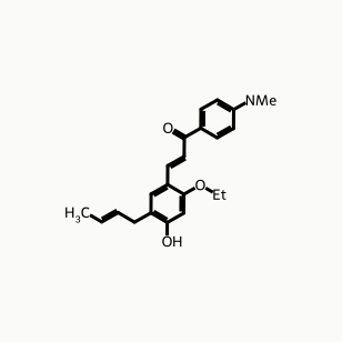 C/C=C/Cc1cc(/C=C/C(=O)c2ccc(NC)cc2)c(OCC)cc1O